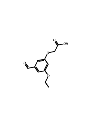 CCOc1cc(C=O)cc(OCC(=O)O)c1